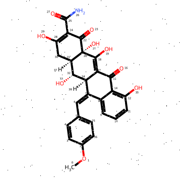 COc1ccc(/C=C2\c3cccc(O)c3C(=O)C3=C(O)[C@]4(O)C(=O)C(C(N)=O)=C(O)C[C@@H]4[C@@H](O)[C@@H]32)cc1